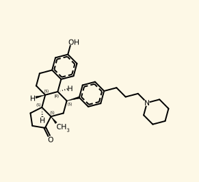 C[C@]12C[C@H](c3ccc(CCCN4CCCCC4)cc3)[C@@H]3c4ccc(O)cc4CC[C@H]3[C@@H]1CCC2=O